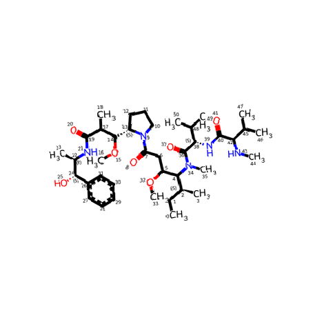 CC[C@H](C)C(C(CC(=O)N1CCC[C@H]1C(OC)C(C)C(=O)N[C@H](C)[C@@H](O)c1ccccc1)OC)N(C)C(=O)[C@@H](NC(=O)C(NC)C(C)C)C(C)C